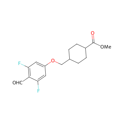 COC(=O)C1CCC(COc2cc(F)c(C=O)c(F)c2)CC1